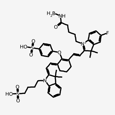 BNC(=O)CCCC[N+]1=C(/C=C/C2=C(Oc3ccc(S(=O)(=O)O)cc3)C(=C/C=C3/N(CCCCS(=O)(=O)O)c4ccccc4C3(C)C)/CCC2)C(C)(C)c2cc(F)ccc21